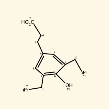 CC(C)Cc1cc(CCC(=O)O)cc(CC(C)C)c1O